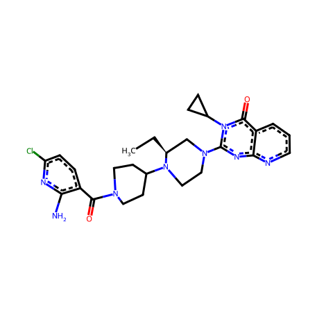 CC[C@H]1CN(c2nc3ncccc3c(=O)n2C2CC2)CCN1C1CCN(C(=O)c2ccc(Cl)nc2N)CC1